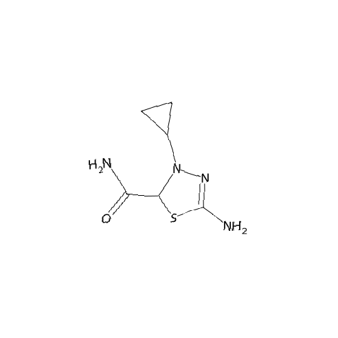 NC(=O)C1SC(N)=NN1C1CC1